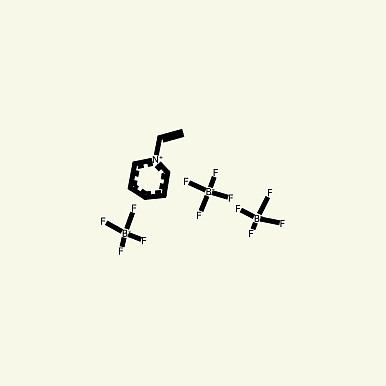 C=C[n+]1ccccc1.F[B-](F)(F)F.F[B-](F)(F)F.F[B-](F)(F)F